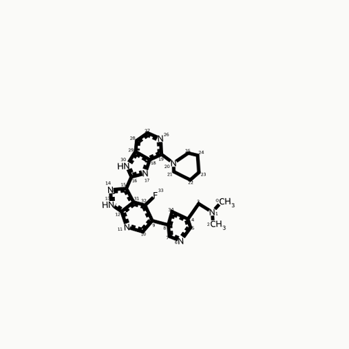 CN(C)Cc1cncc(-c2cnc3[nH]nc(-c4nc5c(N6CCCCC6)nccc5[nH]4)c3c2F)c1